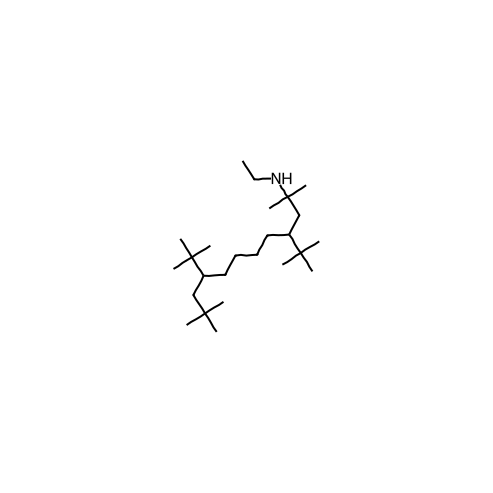 CCNC(C)(C)CC(CCCCC(CC(C)(C)C)C(C)(C)C)C(C)(C)C